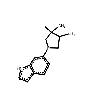 CC1(N)CB(c2ccc3cn[nH]c3c2)CC1N